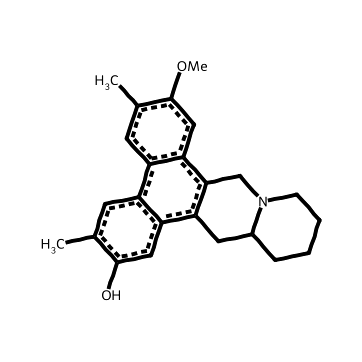 COc1cc2c3c(c4cc(O)c(C)cc4c2cc1C)CC1CCCCN1C3